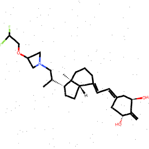 C=C1[C@H](O)CC(=C/C=C2\CCC[C@]3(C)[C@@H](C(C)CN4CC(OCC(F)F)C4)CC[C@@H]23)C[C@H]1O